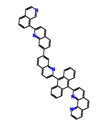 c1cc(-c2ccc3ccc(-c4ccc5ccc(-c6c7ccccc7c(-c7ccc8ccc9cccnc9c8n7)c7ccccc67)nc5c4)cc3n2)c2cnccc2c1